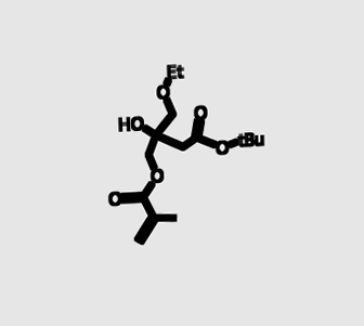 C=C(C)C(=O)OCC(O)(COCC)CC(=O)OC(C)(C)C